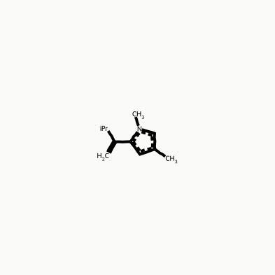 C=C(c1cc(C)cn1C)C(C)C